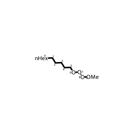 CCCCCCCCCCCOOOOC